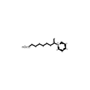 CCCCCCCCCCCCCCC(C)[n+]1ccccc1